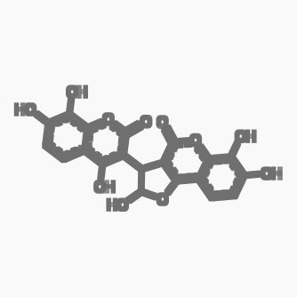 O=c1oc2c(O)c(O)ccc2c(O)c1C1c2c(c3ccc(O)c(O)c3oc2=O)OC1O